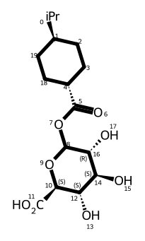 CC(C)[C@H]1CC[C@H](C(=O)OC2O[C@H](C(=O)O)[C@@H](O)[C@H](O)[C@H]2O)CC1